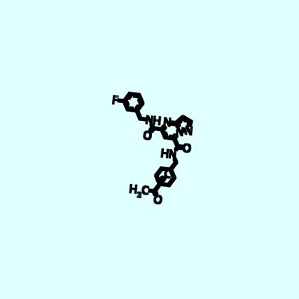 CC(=O)C12CCC(CNC(=O)c3cc(C(=O)NCc4cccc(F)c4)nc4ccnn34)(CC1)CC2